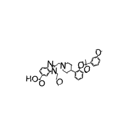 COCCn1c(CN2CCC(c3cccc4c3OC(C)(c3cccc(OC)c3)O4)CC2)nc2ccc(C(=O)O)cc21